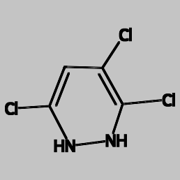 ClC1=CC(Cl)=C(Cl)NN1